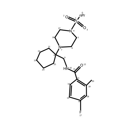 CCCS(=O)(=O)N1CCN(C2(CNC(=O)c3ccc(F)cc3C)CCCCC2)CC1